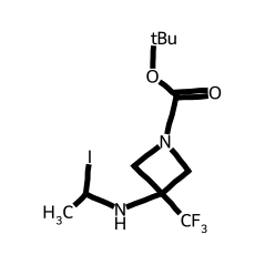 CC(I)NC1(C(F)(F)F)CN(C(=O)OC(C)(C)C)C1